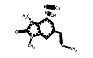 C#N.C#N.Cn1c(=O)n(C)c2cc(C=NN)ccc21